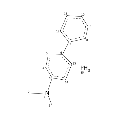 CN(C)c1ccc(-c2ccccc2)cc1.P